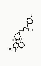 OC1CN2c3c(cccc3[C@@H]3CN(CCC[C@@H](O)c4ccc(F)cc4)CC[C@@H]32)N1